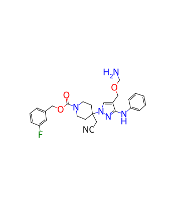 N#CCC1(n2cc(COCN)c(Nc3ccccc3)n2)CCN(C(=O)OCc2cccc(F)c2)CC1